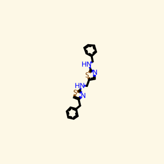 c1ccc(CNc2ncc(CNc3nc(Cc4ccccc4)cs3)s2)cc1